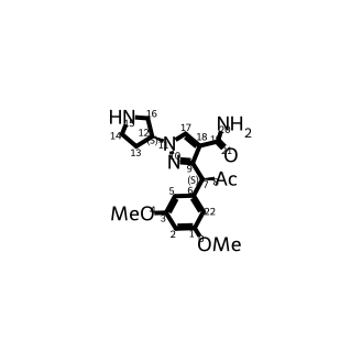 COc1cc(OC)cc([C@H](C(C)=O)c2nn([C@H]3CCNC3)cc2C(N)=O)c1